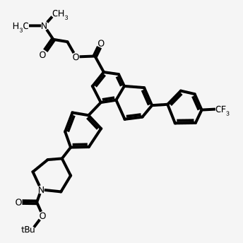 CN(C)C(=O)COC(=O)c1cc(-c2ccc(C3CCN(C(=O)OC(C)(C)C)CC3)cc2)c2ccc(-c3ccc(C(F)(F)F)cc3)cc2c1